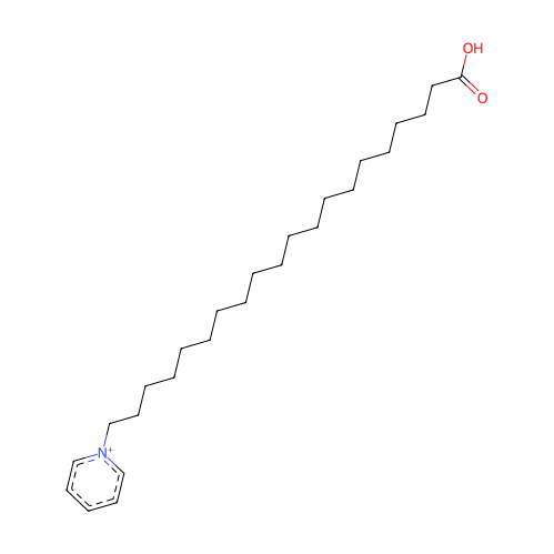 O=C(O)CCCCCCCCCCCCCCCCCCC[n+]1ccccc1